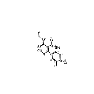 CCOC(=O)c1c(CCl)c2cc(C)c(Cl)cc2[nH]c1=O